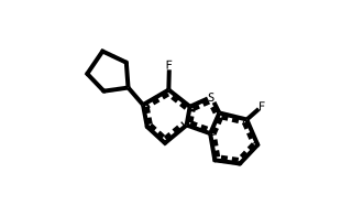 Fc1cccc2c1sc1c(F)c(C3CCCC3)ccc12